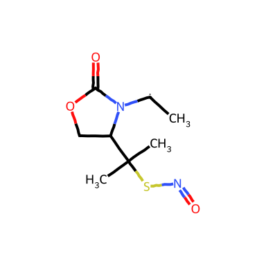 C[CH]N1C(=O)OCC1C(C)(C)SN=O